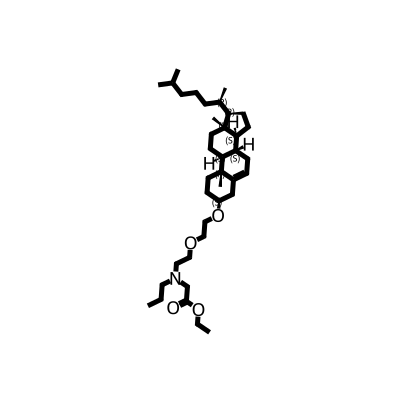 CCCN(CCOCCO[C@H]1CC[C@@]2(C)C(=CC[C@H]3[C@@H]4CC[C@H]([C@H](C)CCCC(C)C)[C@@]4(C)CC[C@@H]32)C1)CC(=O)OCC